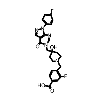 O=C(O)c1ccc(CN2CCC(O)(Cn3cnc4c(cnn4-c4ccc(F)cc4)c3=O)CC2)c(F)c1